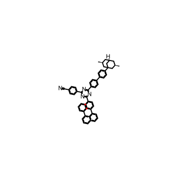 C[C@@H]1C[C@@H]2C[C@H](C)CC(c3ccc(-c4ccc(-c5nc(-c6ccc(C#N)cc6)nc(-c6ccc(-c7cccc8cccc(-c9ccccc9)c78)cc6)n5)cc4)cc3)(C1)C2